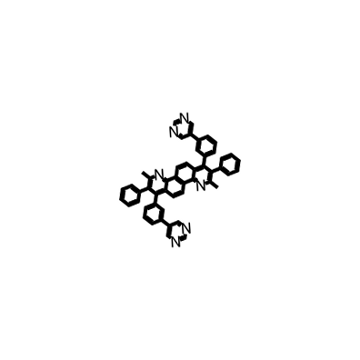 Cc1nc2c(ccc3c2ccc2c(-c4cccc(-c5cncnc5)c4)c(-c4ccccc4)c(C)nc23)c(-c2cccc(-c3cncnc3)c2)c1-c1ccccc1